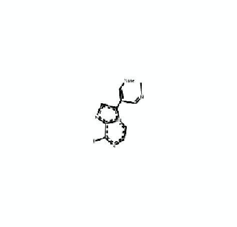 C/N=C\C(=C/NC)c1cnc2c(I)nccn12